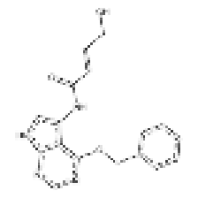 O=C(C=CCO)Nc1c[nH]c2ncnc(OCc3ccccc3)c12